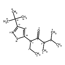 CCN(C(=O)N(C)C(C)C)c1cc(C(C)(C)C)ns1